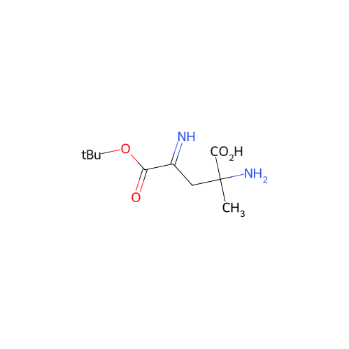 CC(C)(C)OC(=O)C(=N)CC(C)(N)C(=O)O